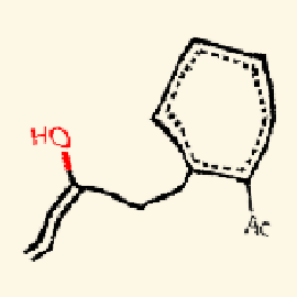 C=C(O)Cc1ccccc1C(C)=O